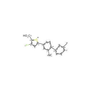 [C-]#[N+]c1cc(-c2cc(F)c(C(=O)O)s2)ccc1-c1cccc(C)c1